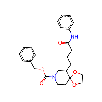 O=C(CCCC1CN(C(=O)OCc2ccccc2)CCC12OCCO2)Nc1ccccc1